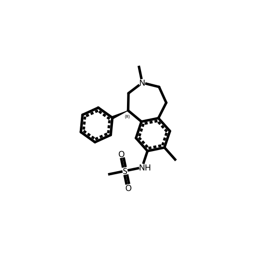 Cc1cc2c(cc1NS(C)(=O)=O)[C@@H](c1ccccc1)CN(C)CC2